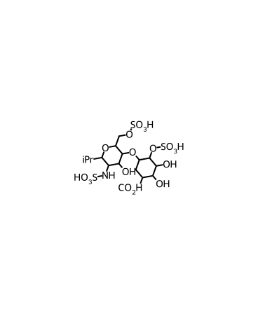 CC(C)C1OC(COS(=O)(=O)O)C(OC2CC(C(=O)O)C(O)C(O)C2OS(=O)(=O)O)C(O)C1NS(=O)(=O)O